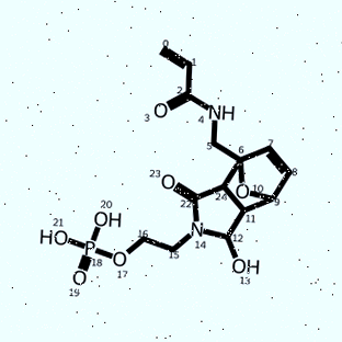 C=CC(=O)NCC12C=CC(O1)C1C(O)N(CCOP(=O)(O)O)C(=O)C12